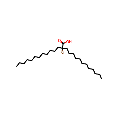 CCCCCCCCCCCCC(S)(CCCCCCCCCCCC)C(=O)O